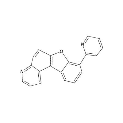 c1ccc(-c2cccc3c2oc2ccc4ncccc4c23)nc1